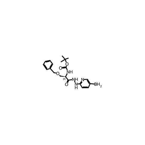 Bc1ccc(NNC(=O)[C@@H](COCc2ccccc2)NC(=O)OC(C)(C)C)nc1